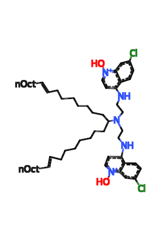 CCCCCCCC/C=C/CCCCCCCC(CCCCCCC/C=C/CCCCCCCC)N(CCNc1cc[n+](O)c2cc(Cl)ccc12)CCNc1cc[n+](O)c2cc(Cl)ccc12